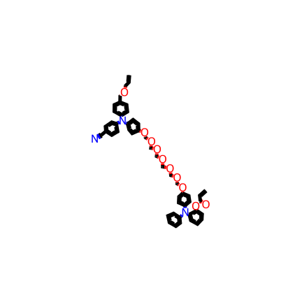 C=CCOCc1ccc(N(c2ccc(C#N)cc2)c2ccc(OCOCOCOCOCOCOc3ccc(N(c4ccccc4)c4ccccc4OC(=O)C=C)cc3)cc2)cc1